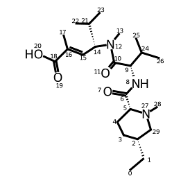 CC[C@@H]1CC[C@H](C(=O)N[C@H](C(=O)N(C)[C@H](/C=C(\C)C(=O)O)C(C)C)C(C)C)N(C)C1